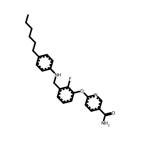 CCCCCCc1ccc(NCc2cccc(Oc3ccc(C(N)=O)cn3)c2F)cc1